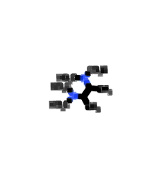 CC(C(C)N(C(=O)O)C(=O)O)N(C(=O)O)C(=O)O